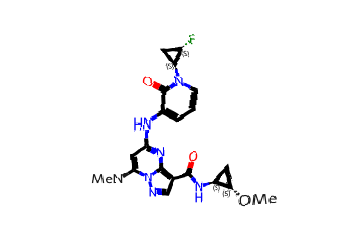 CNc1cc(Nc2cccn([C@H]3C[C@@H]3F)c2=O)nc2c(C(=O)N[C@H]3C[C@@H]3OC)cnn12